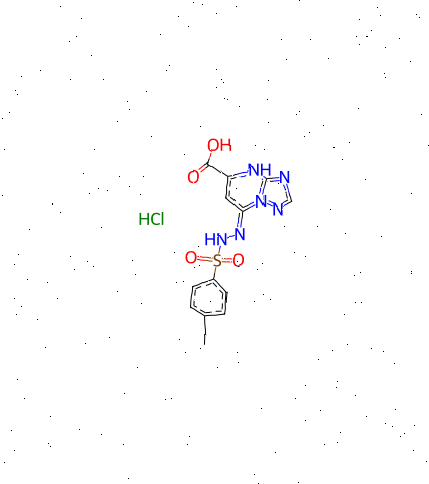 Cc1ccc(S(=O)(=O)N/N=c2\cc(C(=O)O)[nH]c3ncnn23)cc1.Cl